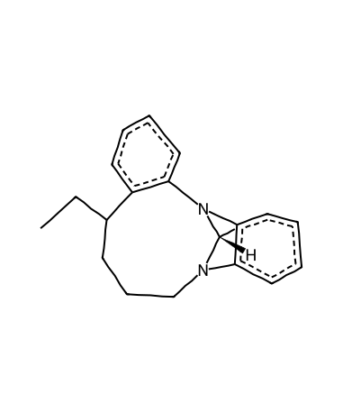 CCC1CCCN2c3ccccc3N(c3ccccc31)[C@@H]2C